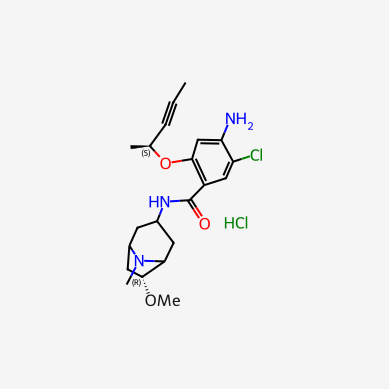 CC#C[C@H](C)Oc1cc(N)c(Cl)cc1C(=O)NC1CC2C[C@@H](OC)C(C1)N2C.Cl